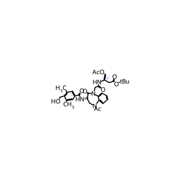 CC(=O)O/C=C(/CC(=O)OC(C)(C)C)NC(=O)CN1C(=O)[C@@H](NC(=O)c2cc(C)c(CO)c(C)c2)CN(C(C)=O)c2ccccc21